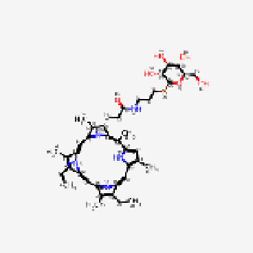 C=Cc1c(C)c2cc3nc(c(C)c4cc(C)c(cc5nc(cc1[nH]2)C(C)=C5CC)[nH]4)[C@@H](CCC(=O)NCCCS[C@@H]1O[C@H](CO)[C@@H](O)[C@H](O)[C@H]1O)[C@@H]3C